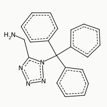 NCc1nnnn1C(c1ccccc1)(c1ccccc1)c1ccccc1